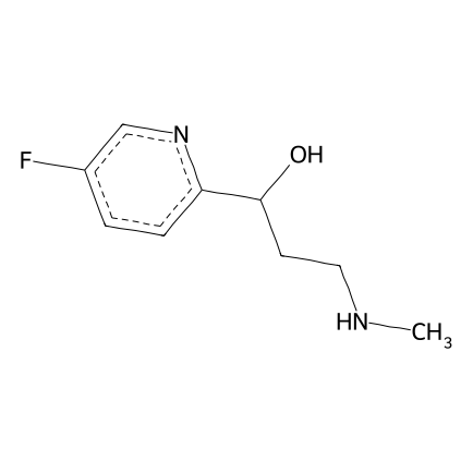 CNCCC(O)c1ccc(F)cn1